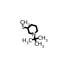 CSC1CCCN(C(C)(C)C)C1